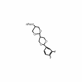 CCCCCC1COC(C2COC(c3ccc(F)c(F)c3)OC2)OC1